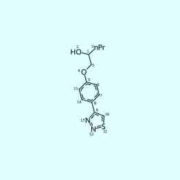 CCCC(O)COc1ccc(-c2csnn2)cc1